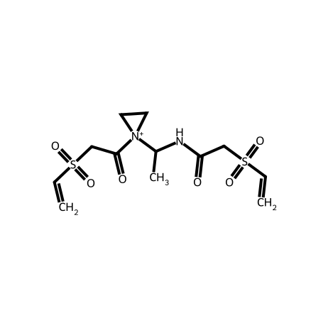 C=CS(=O)(=O)CC(=O)NC(C)[N+]1(C(=O)CS(=O)(=O)C=C)CC1